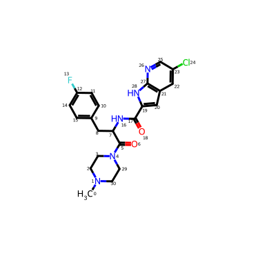 CN1CCN(C(=O)C(Cc2ccc(F)cc2)NC(=O)c2cc3cc(Cl)cnc3[nH]2)CC1